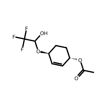 CC(=O)O[C@@H]1C=C[C@@H](OC(O)C(F)(F)F)CC1